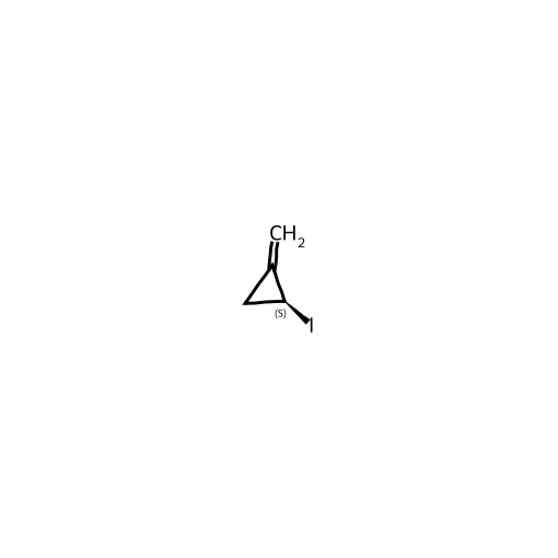 C=C1C[C@@H]1I